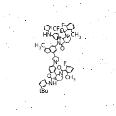 CC1=CCc2c1cc(NC(=O)C1CCCN(C(=O)c3c(C)cccc3F)C1c1ccc(NC3CCC[C@@H]3C(F)(F)F)cc1)cc2C1CCN(c2cccc(C3[C@@H](C(=O)Nc4cccc(C(C)(C)C)c4)CCCN3C(=O)c3c(C)cccc3F)c2)C1